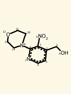 O=[N+]([O-])c1c(CO)ccnc1N1CCOCC1